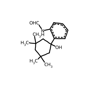 CC1(C)CC(C)(C)CC(O)(c2ccccc2NC=O)C1